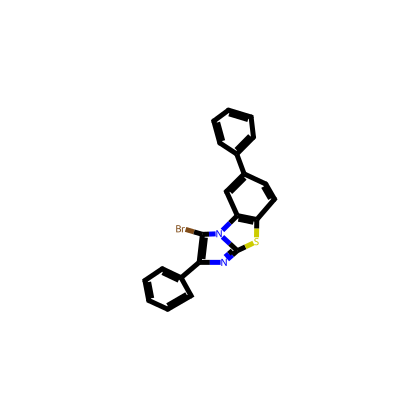 Brc1c(-c2ccccc2)nc2sc3ccc(-c4ccccc4)cc3n12